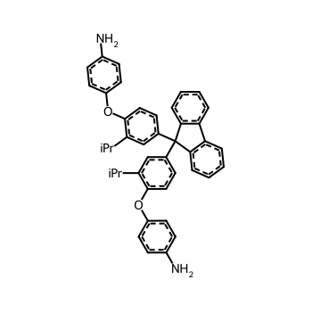 CC(C)c1cc(C2(c3ccc(Oc4ccc(N)cc4)c(C(C)C)c3)c3ccccc3-c3ccccc32)ccc1Oc1ccc(N)cc1